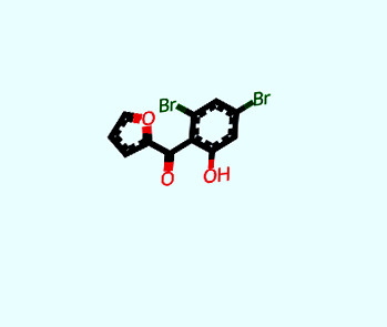 O=C(c1ccco1)c1c(O)cc(Br)cc1Br